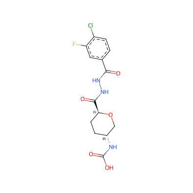 O=C(O)N[C@@H]1CC[C@@H](C(=O)NNC(=O)c2ccc(Cl)c(F)c2)OC1